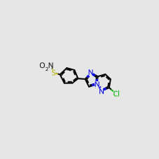 O=[N+]([O-])Sc1ccc(-c2cn3nc(Cl)ccc3n2)cc1